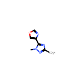 Cn1nc(C(=O)O)nc1-c1co[c]n1